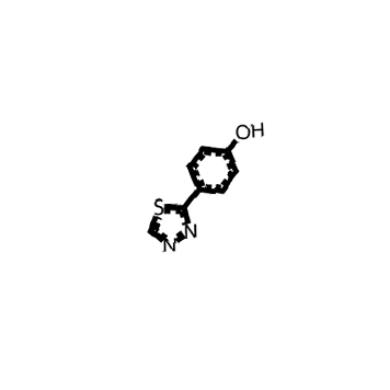 Oc1ccc(-c2nncs2)cc1